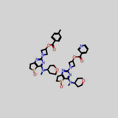 CN(c1nc(N2CC(OC(=O)c3cccnc3)C2)nc2c1[S+]([O-])CC2)C1CCOCC1.Cc1ccc(C(=O)OC2CN(c3nc4c(c(N(C)C5CCOCC5)n3)[S+]([O-])CC4)C2)cc1